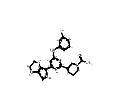 CC(=O)N1CCCC(c2nc(Nc3cccc(F)c3)cc(-c3scc4c3OCCO4)n2)C1